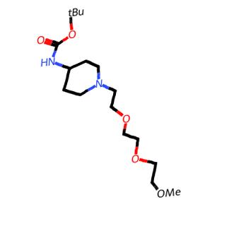 COCCOCCOCCN1CCC(NC(=O)OC(C)(C)C)CC1